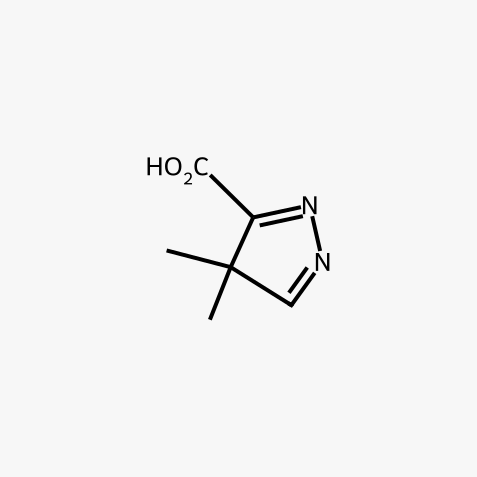 CC1(C)C=NN=C1C(=O)O